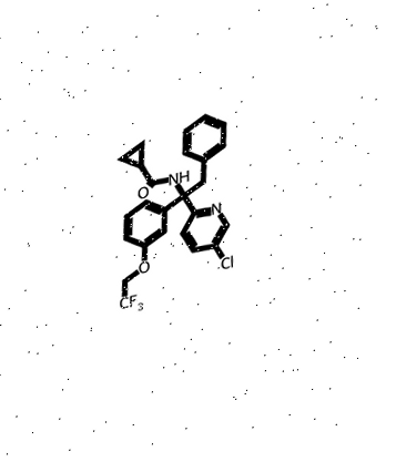 O=C(NC(Cc1ccccc1)(c1cccc(OCC(F)(F)F)c1)c1ccc(Cl)cn1)C1CC1